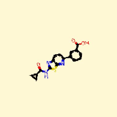 O=C(O)c1cccc(-c2ccc3nc(NC(=O)C4CC4)sc3n2)c1